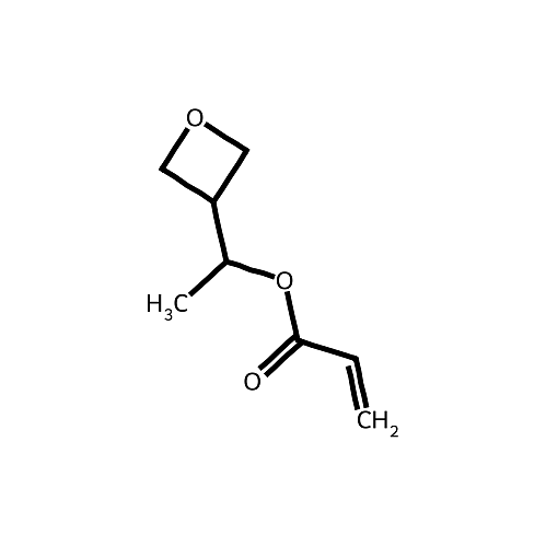 C=CC(=O)OC(C)C1COC1